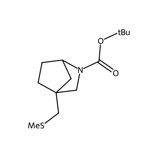 CSCC12CCC(C1)N(C(=O)OC(C)(C)C)C2